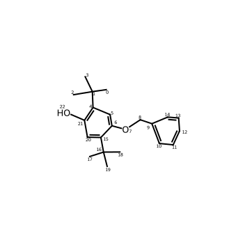 CC(C)(C)c1cc(OCc2ccccc2)c(C(C)(C)C)cc1O